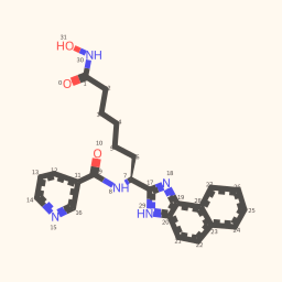 O=C(CCCCC[C@H](NC(=O)c1cccnc1)c1nc2c(ccc3ccccc32)[nH]1)NO